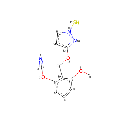 COc1cccc(OC#N)c1COc1ccn(S)n1